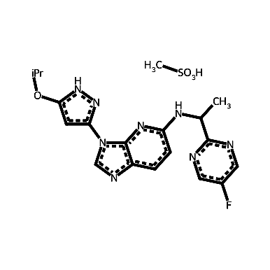 CC(C)Oc1cc(-n2cnc3ccc(NC(C)c4ncc(F)cn4)nc32)n[nH]1.CS(=O)(=O)O